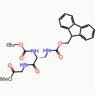 COC(=O)CNC(=O)[C@@H](CNC(=O)OCC1c2ccccc2-c2ccccc21)NC(=O)OC(C)(C)C